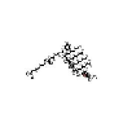 CCCCCCCC(=O)[O-].CCCCCCCC(=O)[O-].CCCCCCCC(=O)[O-].CCCCCCCC(=O)[O-].CCCCCCCC(=O)[O-].CCCCCCCC(=O)[O-].[C]=O.[C]=O.[C]=O.[Cr+3].[Cr+3].c1ccccc1